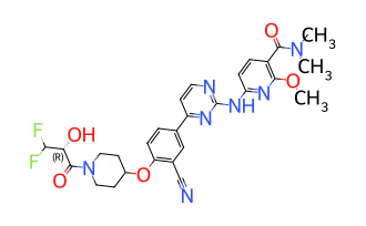 COc1nc(Nc2nccc(-c3ccc(OC4CCN(C(=O)[C@@H](O)C(F)F)CC4)c(C#N)c3)n2)ccc1C(=O)N(C)C